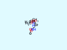 COC(=O)C(Cc1ccc(CC#CCNC(=O)OCc2ccccc2)c2ccccc12)NC(=O)OC(C)(C)C